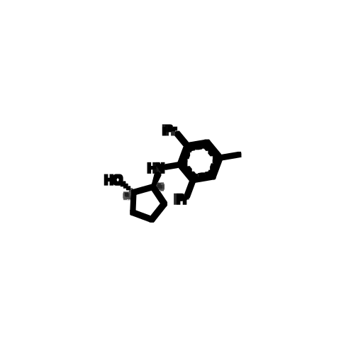 Cc1cc(C(C)C)c(N[C@H]2CCC[C@@H]2O)c(C(C)C)c1